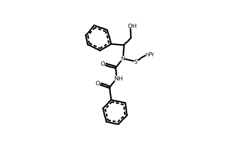 CCCSN(C(=O)NC(=O)c1ccccc1)C(CO)c1ccccc1